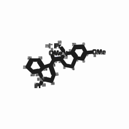 CO/C(=C1/CCc2cc(OC)ccc2N1C(C)C)c1cc[n+](C(C)C)c2ccccc12.[I-]